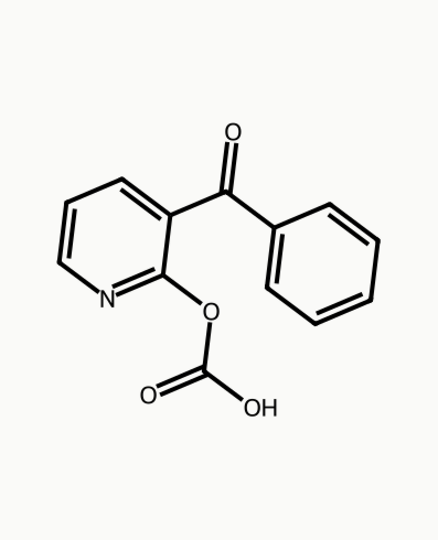 O=C(O)Oc1ncccc1C(=O)c1ccccc1